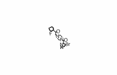 Cn1cc(Br)c(C(=O)N2CCN(CC(=O)c3ccccc3F)CC2)n1